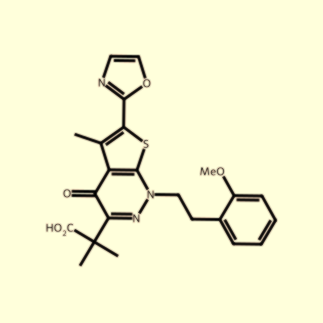 COc1ccccc1CCn1nc(C(C)(C)C(=O)O)c(=O)c2c(C)c(-c3ncco3)sc21